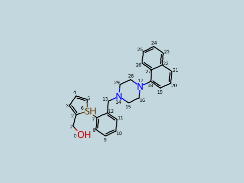 OCC1=CC=C[SH]1c1ccccc1CN1CCN(c2cccc3ccccc23)CC1